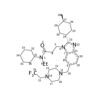 CCN(C(=O)CCn1c2cc(CN3CCN(CC(F)(F)F)CC3)ccc2nc1[C@H]1CC[C@H](C)CC1)C1CCCCC1